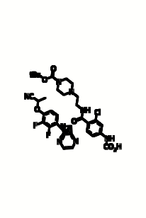 CC(C#N)Oc1ccc(-c2c3c4c(n2C=CN=4)=N3)c(F)c1F.CC(C)(C)OC(=O)N1CCN(CCNC(=O)c2ccc(NC(=O)O)cc2Cl)CC1